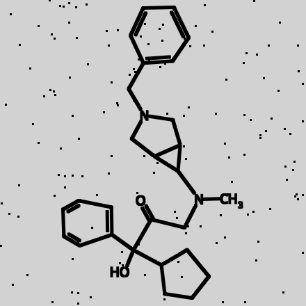 CN(CC(=O)C(O)(c1ccccc1)C1CCCC1)C1C2CN(Cc3ccccc3)CC21